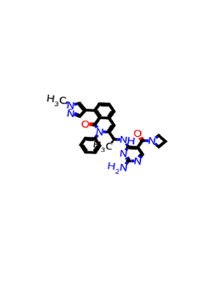 C[C@H](Nc1nc(N)ncc1C(=O)N1CCC1)c1cc2cccc(-c3cnn(C)c3)c2c(=O)n1-c1ccccc1